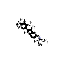 C/C(=N/c1ccc2[nH]c(-c3cn4ncnc4c(C)c3C)c(C(C)C)c2n1)NC(C)C